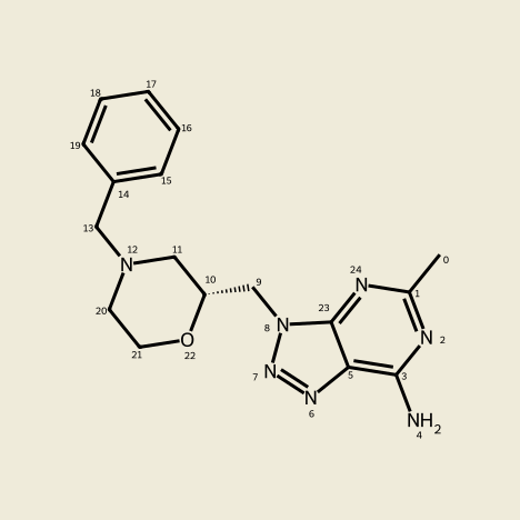 Cc1nc(N)c2nnn(C[C@H]3CN(Cc4ccccc4)CCO3)c2n1